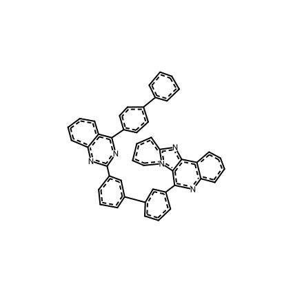 c1ccc(-c2ccc(-c3nc(-c4cccc(-c5cccc(-c6nc7ccccc7c7nc8ccccn8c67)c5)c4)nc4ccccc34)cc2)cc1